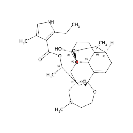 CCc1[nH]cc(C)c1C(=O)O[C@@H](C)C1=CC[C@@]23OCCN(C)C[C@@]12C[C@@H](O)[C@]12O[C@@]4(O)CC[C@@]1(C)[C@H](CC=C32)C4